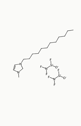 CCCCCCCCCCCCN1C=CN(C)C1.[O-][S+](F)N(F)F.[O-][S+](F)N(F)F